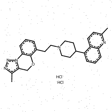 Cc1ccc2c(C3CCN(CCc4cccc5c4OCc4c(C)nnn4-5)CC3)cccc2n1.Cl.Cl